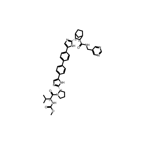 COC(=O)N[C@H](C(=O)N1CCC[C@H]1c1ncc(-c2ccc(-c3ccc(-c4cnc([C@@H]5C6CCC(C6)[C@H]5C(=O)NCc5cncnc5)[nH]4)cc3)cc2)[nH]1)C(C)C